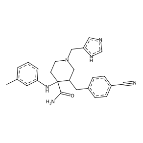 Cc1cccc(NC2(C(N)=O)CCN(Cc3cnc[nH]3)CC2Cc2ccc(C#N)cc2)c1